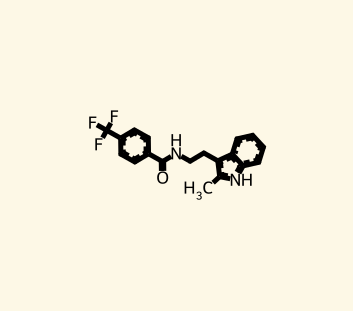 Cc1[nH]c2ccccc2c1CCNC(=O)c1ccc(C(F)(F)F)cc1